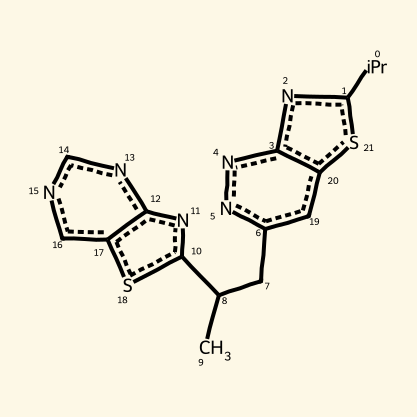 CC(C)c1nc2nnc(CC(C)c3nc4ncncc4s3)cc2s1